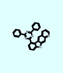 c1ccc(-c2nc(-c3ccccc3)nc(-c3cccc4oc5cc6ncccc6cc5c34)n2)cc1